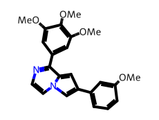 COc1cccc(-c2cc3c(-c4cc(OC)c(OC)c(OC)c4)nccn3c2)c1